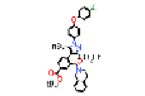 CCCCc1c(-c2ccc(C(=O)OC(C)(C)C)cc2C(=O)N2CCc3ccccc3C2)c(C(=O)OCC)nn1-c1ccc(Oc2ccc(Cl)cc2)cc1